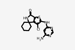 Nc1cc(Nc2sc3c(c2Cl)C2(CCCCC2)NC3=O)ncn1